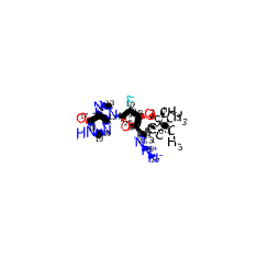 CC(C)(C)[Si](C)(C)OC1[C@@H](F)[C@H](n2cnc3c(=O)[nH]cnc32)O[C@@H]1CN=[N+]=[N-]